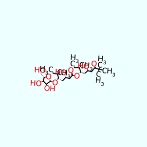 CC[C@@H](C)[C@H](CC(O)CC(=O)C(C)(C)C)OC(=O)C[C@@H](O)C[C@H](O[C@@H]1O[C@@H](CO)[C@H](O)[C@H]1O)[C@H](C)CC